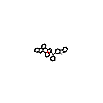 c1ccc(-c2cc3ccccc3c3cccc(-c4ccc(N(c5ccccc5)c5ccc6c(c5)sc5ccccc56)cc4)c23)cc1